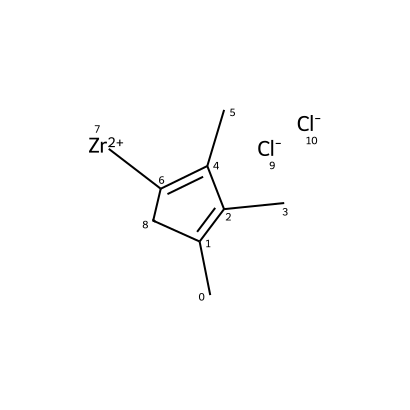 CC1=C(C)C(C)=[C]([Zr+2])C1.[Cl-].[Cl-]